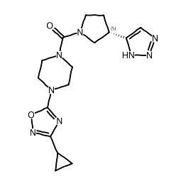 O=C(N1CCN(c2nc(C3CC3)no2)CC1)N1CC[C@H](c2cnn[nH]2)C1